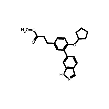 COC(=O)CCc1ccc(OC2CCCC2)c(-c2ccc3cn[nH]c3c2)c1